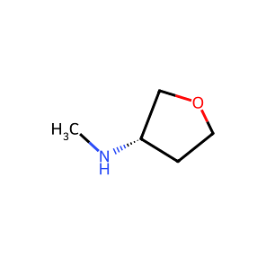 CN[C@H]1CCOC1